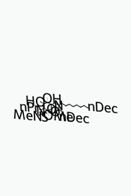 CCCCCCCCCCCCCCCCCCN(C[C@H]1O[C@H](OC)[C@@H](N(CCC)C(=S)NC)[C@@H](O)[C@@H]1O)C(=O)CCCCCCCCCCC